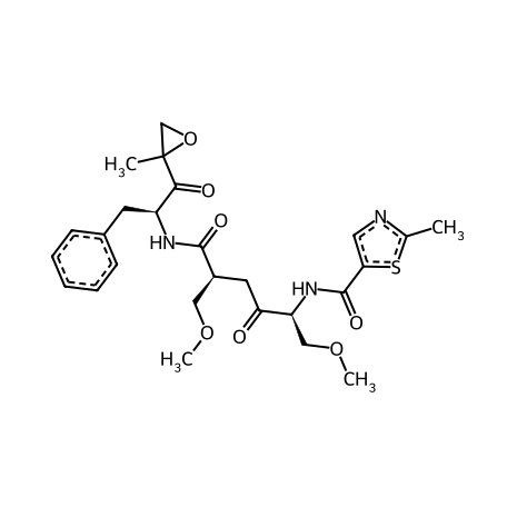 COC[C@H](CC(=O)[C@H](COC)NC(=O)c1cnc(C)s1)C(=O)N[C@@H](Cc1ccccc1)C(=O)C1(C)CO1